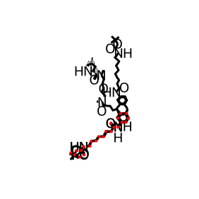 C[C@@H]1CN[C@H](C(=O)N(C)CCOCCN(C)C(=O)CCC23c4cc(NC(=O)CCCCCCCNC(=O)OC(C)(C)C)ccc4C(c4ccc(NC(=O)CCCCCCCNC(=O)OC(C)(C)C)cc42)c2ccc(NC(=O)CCCCCCCNC(=O)OC(C)(C)C)cc23)C1